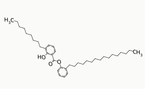 CCCCCCCCCCCCCCCCc1ccccc1OC(=O)c1cccc(CCCCCCCCC)c1O